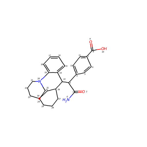 NC(=O)C(c1ccc(C(=O)O)cc1)C(c1ccccc1N1CCCCC1)C1CCCCC1